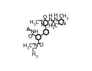 CCN(CC)C(=O)c1cc(C(=O)NC2CC2)cc(-c2cccc(-c3cc(NC(=O)Nc4c(C)cncc4C)c(=O)n(CC)n3)c2)c1